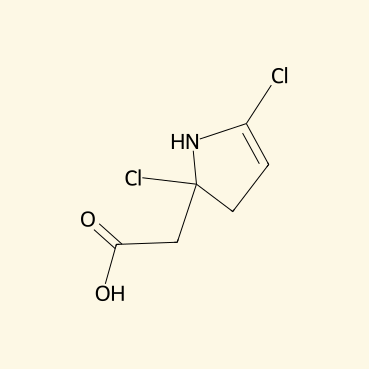 O=C(O)CC1(Cl)CC=C(Cl)N1